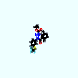 CC(C)(C)OC(=O)N[C@@H]1[C@H]2CC[C@H](C2)[C@@H]1C(=O)Nc1cccc(SC(F)(F)F)c1